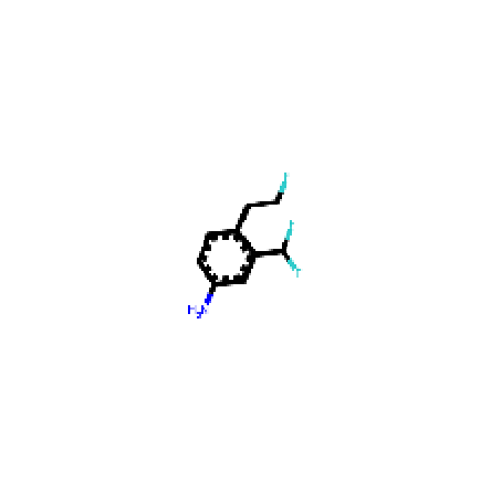 Nc1ccc(CCF)c(C(F)F)c1